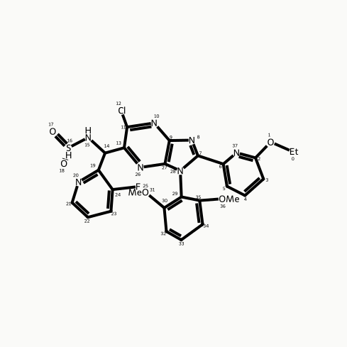 CCOc1cccc(-c2nc3nc(Cl)c(C(N[SH](=O)=O)c4ncccc4F)nc3n2-c2c(OC)cccc2OC)n1